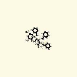 C[C@H]1O[C@H](O[C@H]2CC[C@H](C(C)(C)C)C[C@H]2O)[C@H](OCc2ccccc2)[C@@H](OCc2ccccc2)[C@H]1OCc1ccccc1